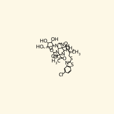 CC(=O)N1C2N([C@@H]3O[C@H](CO)C(O)C3O)C=NC2(C(C)=O)C(N[C@H](C)CSc2nc3cc(Cl)ccc3s2)=NC1(Cl)C(C)=O